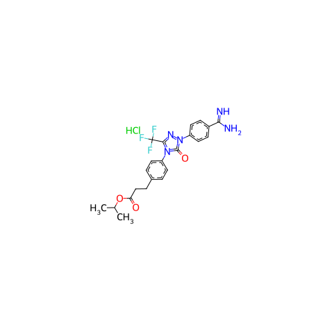 CC(C)OC(=O)CCc1ccc(-n2c(C(F)(F)F)nn(-c3ccc(C(=N)N)cc3)c2=O)cc1.Cl